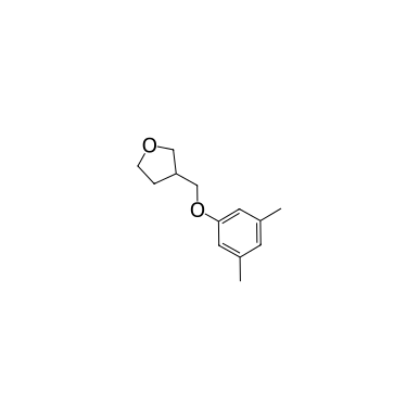 Cc1cc(C)cc(OCC2CCOC2)c1